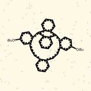 CC(C)COc1ccc2c(ccc3ccccc3ccc3cc(OCC(C)C)ccc3c3c4ccccc4c2c2ccccc23)c1